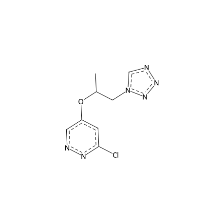 CC(Cn1cnnn1)Oc1cnnc(Cl)c1